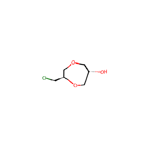 O[C@H]1COC[C@H](CCl)OC1